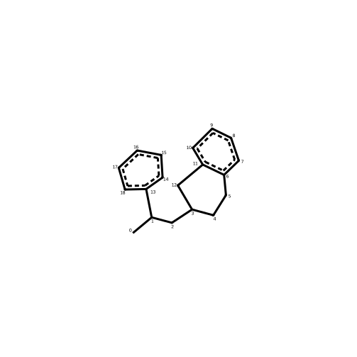 CC(CC1CCc2ccccc2C1)c1ccccc1